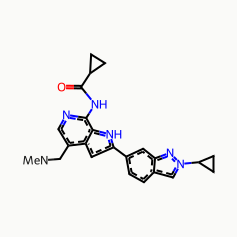 CNCc1cnc(NC(=O)C2CC2)c2[nH]c(-c3ccc4cn(C5CC5)nc4c3)cc12